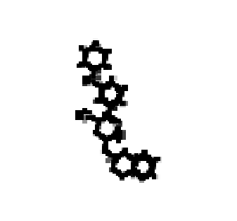 CN(CC(O)CN1CCc2ccccc2C1)C(=O)c1ccnc(NC2CCOCC2)c1